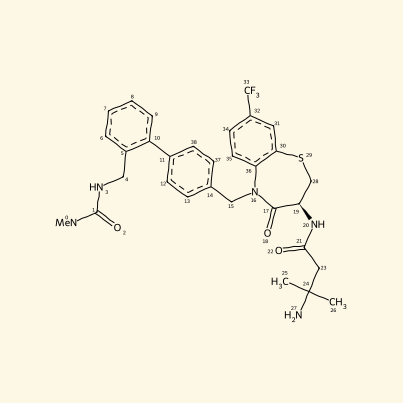 CNC(=O)NCc1ccccc1-c1ccc(CN2C(=O)[C@H](NC(=O)CC(C)(C)N)CSc3cc(C(F)(F)F)ccc32)cc1